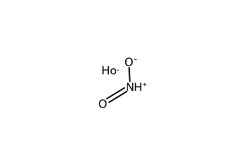 O=[NH+][O-].[Ho]